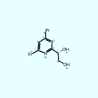 CCc1cc(C(C)C)nc([C@H](O)CO)n1